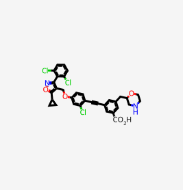 O=C(O)c1cc(C#Cc2ccc(OCc3c(-c4c(Cl)cccc4Cl)noc3C3CC3)cc2Cl)cc(CC2CNCCO2)c1